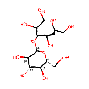 OCC(O)C(O)C(O[C@H]1O[C@H](CO)[C@@H](O)[C@H](O)[C@H]1O)C(O)CO